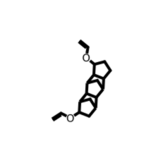 C=COC1CC2CC1C1C3CC(C4CCC(OC=C)C43)C21